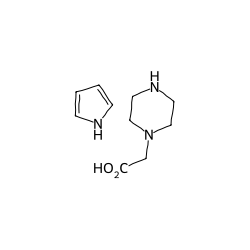 O=C(O)CN1CCNCC1.c1cc[nH]c1